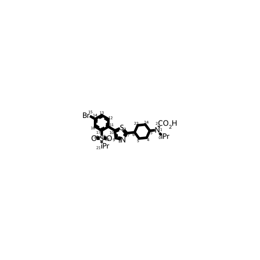 CC(C)N(C(=O)O)C1CCC(c2ncc(-c3ccc(Br)cc3S(=O)(=O)C(C)C)s2)CC1